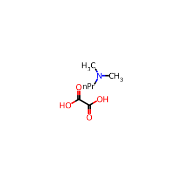 CCCN(C)C.O=C(O)C(=O)O